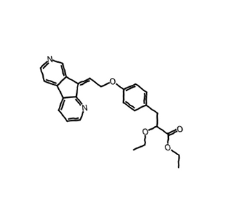 CCOC(=O)C(Cc1ccc(OCC=C2c3cnccc3-c3cccnc32)cc1)OCC